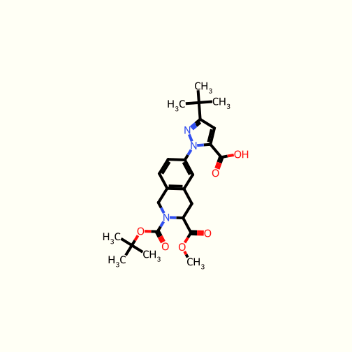 COC(=O)C1Cc2cc(-n3nc(C(C)(C)C)cc3C(=O)O)ccc2CN1C(=O)OC(C)(C)C